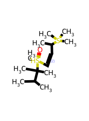 CC(C)C(C)(C)[SH](C)(=O)/C=C\C(C)S(C)(C)C